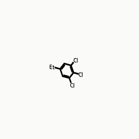 [CH2]Cc1cc(Cl)c(Cl)c(Cl)c1